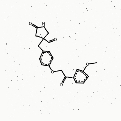 COc1cccc(C(=O)COc2ccc(CC3(C=O)CNC(=O)S3)cc2)c1